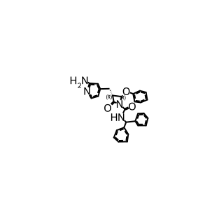 Nc1cc(C[C@H]2C(=O)N(C(=O)NC(c3ccccc3)c3ccccc3)[C@@H]2Oc2ccccc2)ccn1